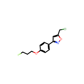 FCCCOc1ccc(-c2cc(CCl)on2)cc1